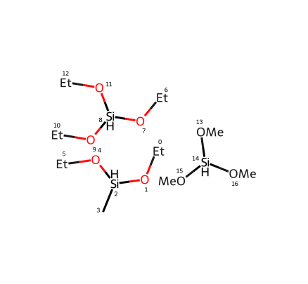 CCO[SiH](C)OCC.CCO[SiH](OCC)OCC.CO[SiH](OC)OC